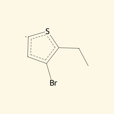 CCc1s[c]cc1Br